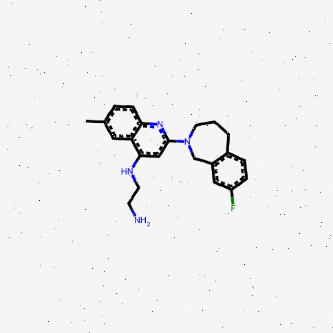 Cc1ccc2nc(N3CCCc4ccc(F)cc4C3)cc(NCCN)c2c1